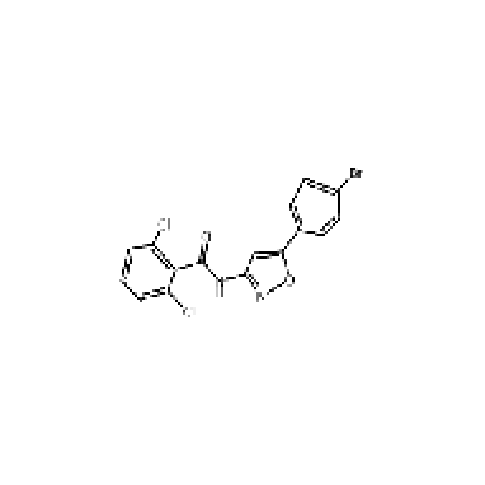 O=C(Nc1cc(-c2ccc(Br)cc2)on1)c1c(Cl)cccc1Cl